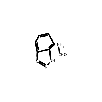 NC=O.c1ccc2[nH]nnc2c1